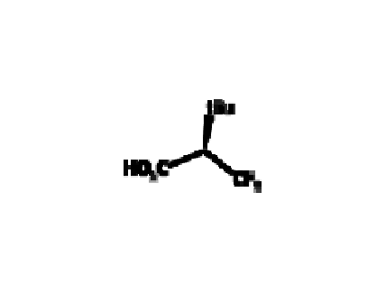 CC(C)(C)[C@H](C(=O)O)C(F)(F)F